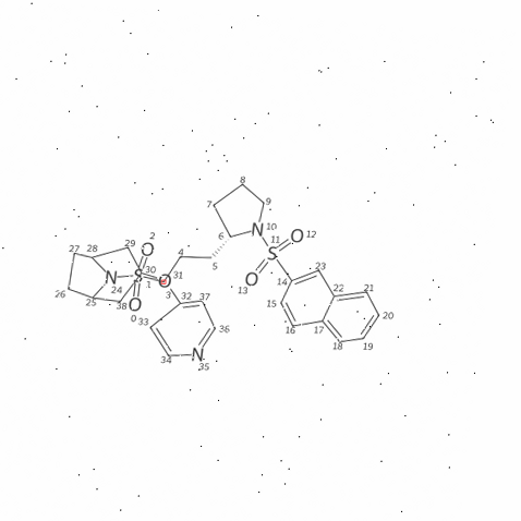 O=S(=O)(CCC[C@@H]1CCCN1S(=O)(=O)c1ccc2ccccc2c1)N1C2CCC1CC(Oc1ccncc1)C2